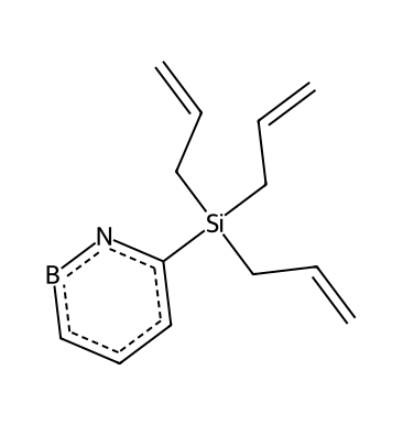 C=CC[Si](CC=C)(CC=C)c1cccbn1